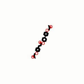 O=C(CCc1ccc(OCC2CO2)cc1)O[C@H]1CC[C@H](c2ccc(OCC3CO3)cc2)CC1